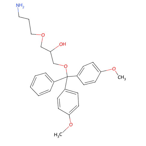 COc1ccc(C(OCC(O)COCCCN)(c2ccccc2)c2ccc(OC)cc2)cc1